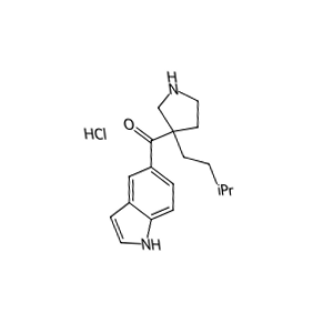 CC(C)CCC1(C(=O)c2ccc3[nH]ccc3c2)CCNC1.Cl